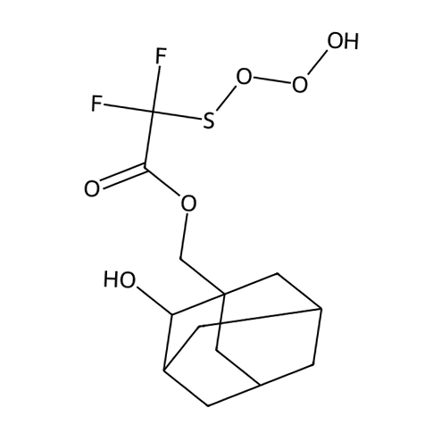 O=C(OCC12CC3CC(CC(C3)C1O)C2)C(F)(F)SOOO